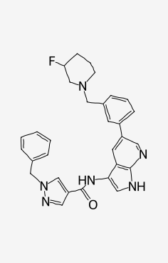 O=C(Nc1c[nH]c2ncc(-c3cccc(CN4CCCC(F)C4)c3)cc12)c1cnn(Cc2ccccc2)c1